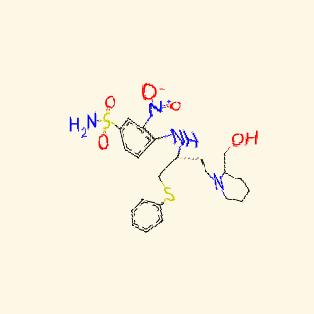 NS(=O)(=O)c1ccc(N[C@H](CCN2CCCCC2CO)CSc2ccccc2)c([N+](=O)[O-])c1